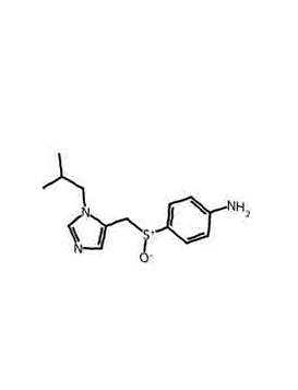 CC(C)Cn1cncc1C[S+]([O-])c1ccc(N)cc1